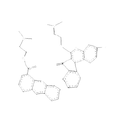 CN(C)CCNC(=O)c1cccc2cc3ccccc3nc12.CN(C)CC[AsH]c1nc2cc(O)ccc2c2c1C(=O)c1ccccc1-2